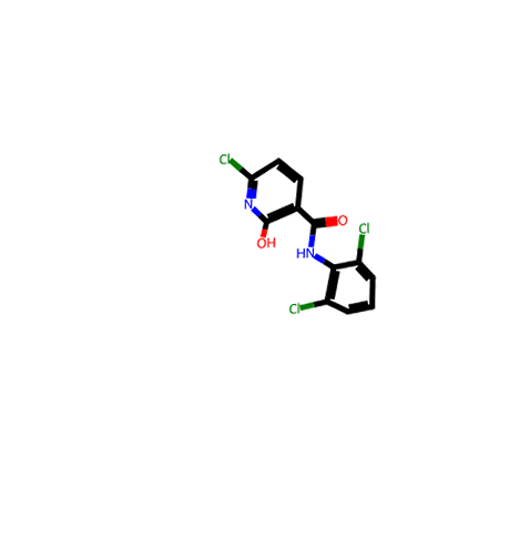 O=C(Nc1c(Cl)cccc1Cl)c1ccc(Cl)nc1O